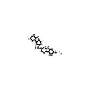 CC12C=C(Nc3ccc4sc5ccccc5c4c3)C=CC1c1ccc(N)cc1S2